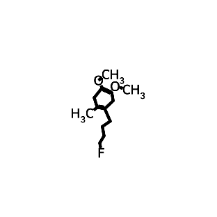 COC1=C(OC)CC(CCCCF)=C(C)C1